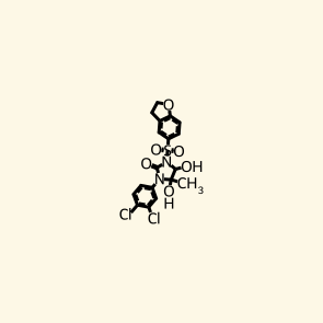 CC1(O)C(O)N(S(=O)(=O)c2ccc3c(c2)CCO3)C(=O)N1c1ccc(Cl)c(Cl)c1